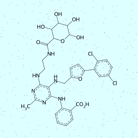 Cc1nc(NCCNC(=O)C2OC(O)C(O)C(O)C2O)c(NCc2ccc(-c3cc(Cl)ccc3Cl)o2)c(Nc2ccccc2C(=O)O)n1